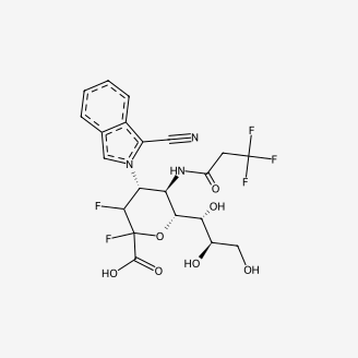 N#Cc1c2ccccc2cn1[C@H]1C(F)C(F)(C(=O)O)O[C@@H]([C@H](O)[C@H](O)CO)[C@@H]1NC(=O)CC(F)(F)F